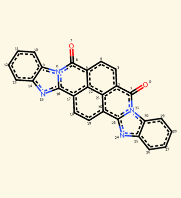 O=c1c2ccc3c(=O)n4c5cc[c]cc5nc4c4ccc(c2c34)c2nc3c[c]ccc3n12